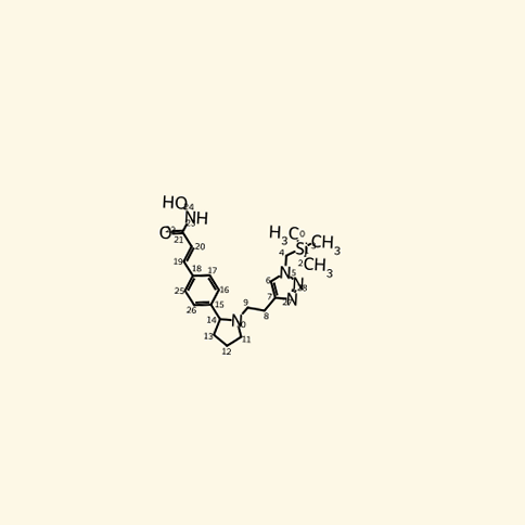 C[Si](C)(C)Cn1cc(CCN2CCCC2c2ccc(C=CC(=O)NO)cc2)nn1